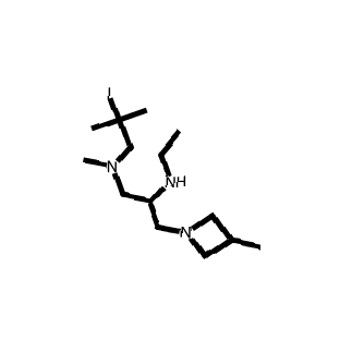 CCNC(CN(C)CC(C)(C)I)CN1CC(C)C1